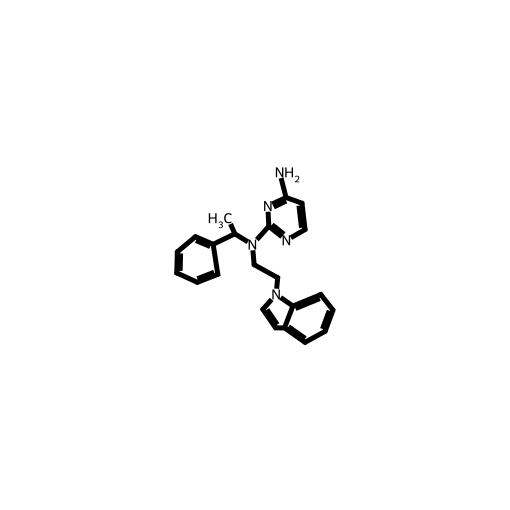 CC(c1ccccc1)N(CCn1ccc2ccccc21)c1nccc(N)n1